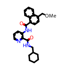 COCc1ccc(C(=O)Nc2cccnc2C(=O)NCC2CCCCC2)c2ccccc12